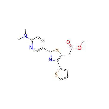 CCOC(=O)Cc1sc(-c2ccc(N(C)C)nc2)nc1-c1cccs1